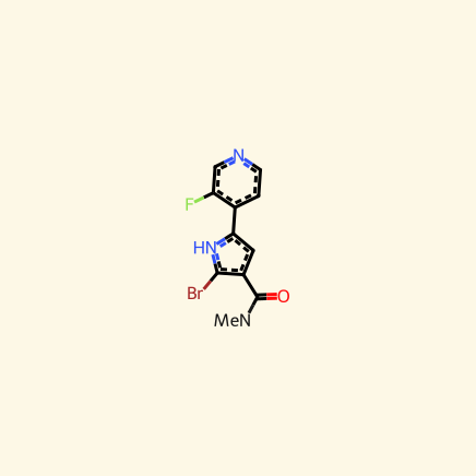 CNC(=O)c1cc(-c2ccncc2F)[nH]c1Br